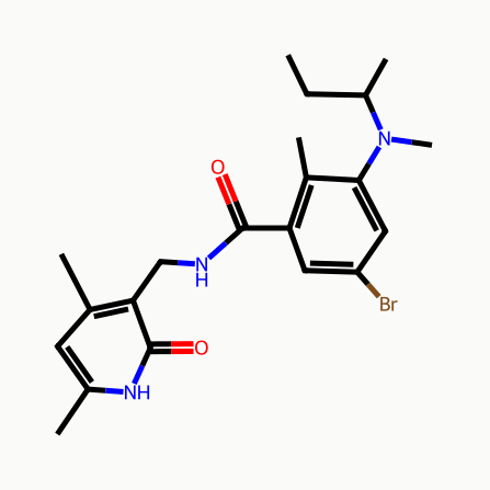 CCC(C)N(C)c1cc(Br)cc(C(=O)NCc2c(C)cc(C)[nH]c2=O)c1C